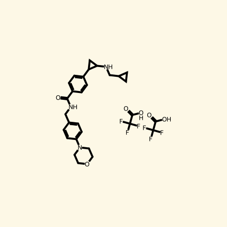 O=C(NCc1ccc(N2CCOCC2)cc1)c1ccc(C2CC2NCC2CC2)cc1.O=C(O)C(F)(F)F.O=C(O)C(F)(F)F